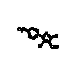 O=Cc1c(Cl)nn(-c2ccc([N+](=O)[O-])cc2)c1Cl